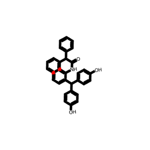 O=C(Nc1ccccc1C(c1ccc(O)cc1)c1ccc(O)cc1)C(c1ccccc1)c1ccccc1